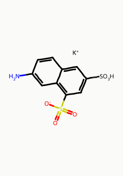 Nc1ccc2cc(S(=O)(=O)O)cc(S(=O)(=O)[O-])c2c1.[K+]